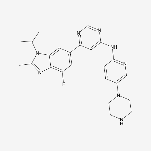 Cc1nc2c(F)cc(-c3cc(Nc4ccc(N5CCNCC5)cn4)ncn3)cc2n1C(C)C